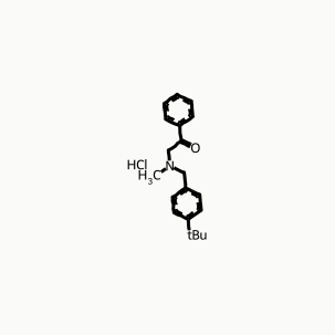 CN(CC(=O)c1ccccc1)Cc1ccc(C(C)(C)C)cc1.Cl